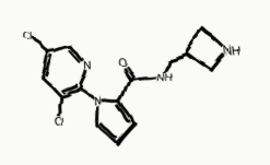 O=C(NCC1CNC1)c1cccn1-c1ncc(Cl)cc1Cl